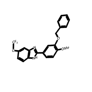 COc1ccc(-c2nc3cc(OC(F)(F)F)ccc3[nH]2)cc1OCc1ccccc1